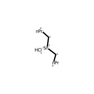 CCC[CH2][Sn][CH2]CCC.Cl